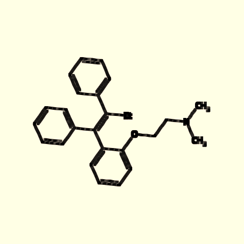 CC/C(=C(/c1ccccc1)c1ccccc1OCCN(C)C)c1ccccc1